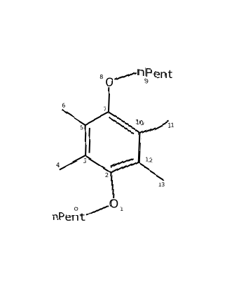 CCCCCOc1c(C)c(C)c(OCCCCC)c(C)c1C